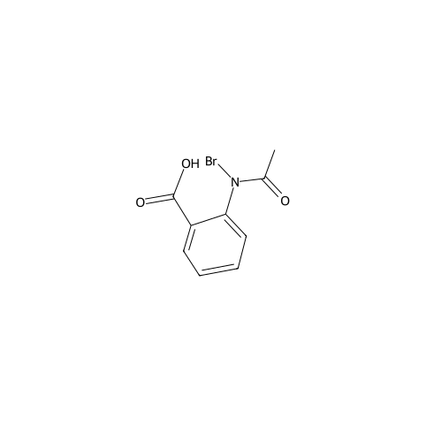 CC(=O)N(Br)c1ccccc1C(=O)O